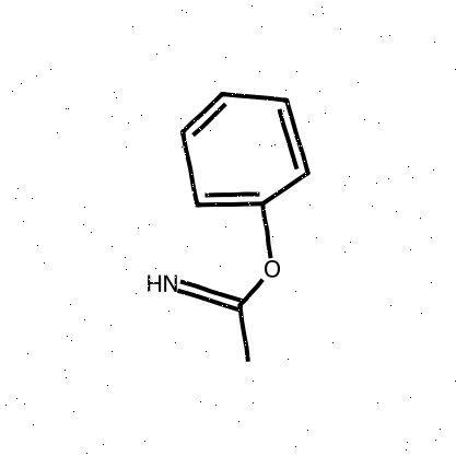 CC(=N)Oc1ccccc1